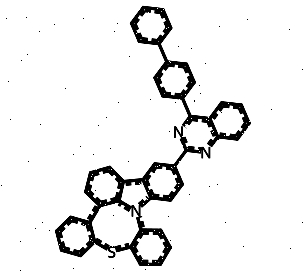 c1ccc(-c2ccc(-c3nc(-c4ccc5c(c4)c4cccc6c7ccccc7sc7ccccc7n5c64)nc4ccccc34)cc2)cc1